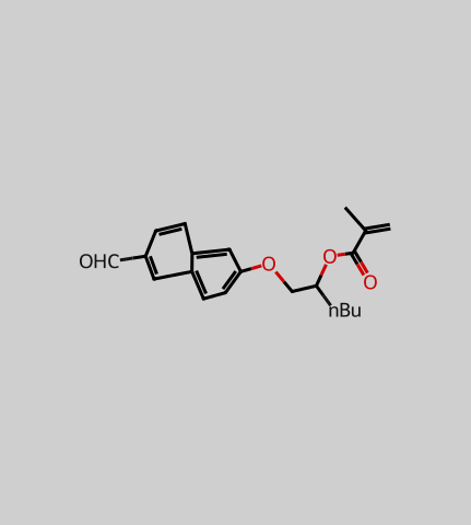 C=C(C)C(=O)OC(CCCC)COc1ccc2cc(C=O)ccc2c1